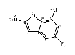 CC(C)(C)c1cc2cc(F)cc(Cl)c2o1